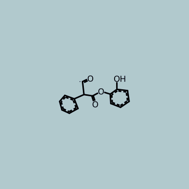 O=[C]C(C(=O)Oc1ccccc1O)c1ccccc1